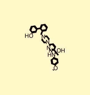 COc1ccc(NC(C)(O)c2ccc(N3CCN(Cc4ccccc4-c4cccc(O)c4)CC3)nn2)cc1